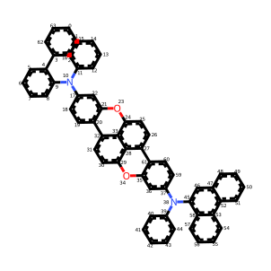 c1ccc(-c2ccccc2N(c2ccccc2)c2ccc3c(c2)Oc2ccc4c5c(ccc-3c25)Oc2cc(N(c3ccccc3)c3cc5ccccc5c5ccccc35)ccc2-4)cc1